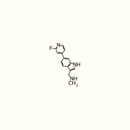 CNCc1c[nH]c2cc(-c3ccnc(F)c3)ccc12